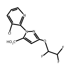 O=C(O)c1cc(OC(F)C(F)F)nn1-c1ncccc1Cl